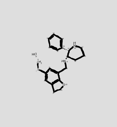 CSc1cc2c(c(CN[C@H]3CCCN[C@H]3c3ccccc3)c1)OCC2.Cl